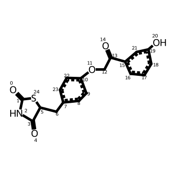 O=C1NC(=O)C(Cc2ccc(OCC(=O)c3cccc(O)c3)cc2)S1